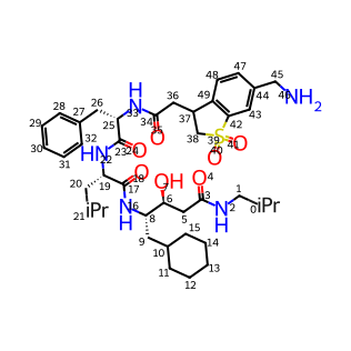 CC(C)CNC(=O)C[C@H](O)[C@H](CC1CCCCC1)NC(=O)[C@H](CC(C)C)NC(=O)[C@H](Cc1ccccc1)NC(=O)CC1CS(=O)(=O)c2cc(CN)ccc21